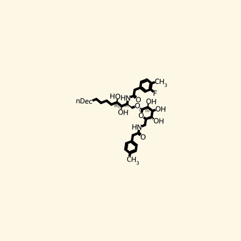 CCCCCCCCCCCCCC[C@@H](O)[C@@H](O)[C@H](CO[C@H]1OC(CNC(=O)Cc2ccc(C)cc2)[C@H](O)C(O)[C@@H]1O)NC(=O)Cc1ccc(C)c(F)c1